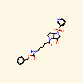 O=C(NCCCCC(=O)N1CCC2C1C(=O)CN2S(=O)(=O)c1cccnc1)OCc1ccccc1